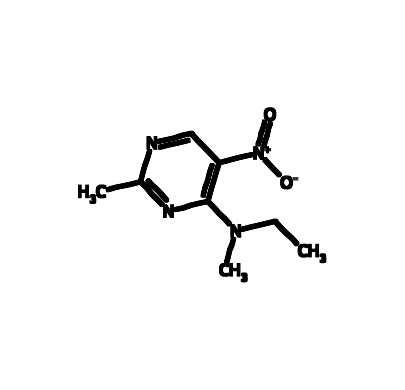 CCN(C)c1nc(C)ncc1[N+](=O)[O-]